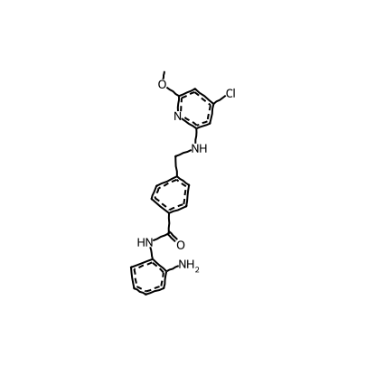 COc1cc(Cl)cc(NCc2ccc(C(=O)Nc3ccccc3N)cc2)n1